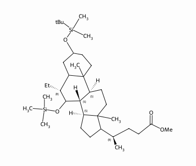 CC[C@H]1C(O[Si](C)(C)C)[C@@H]2[C@H](CCC3(C)C([C@H](C)CCC(=O)OC)CC[C@@H]23)C2(C)CCC(O[Si](C)(C)C(C)(C)C)CC12